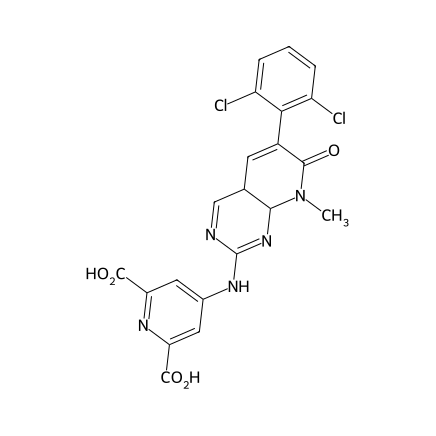 CN1C(=O)C(c2c(Cl)cccc2Cl)=CC2C=NC(Nc3cc(C(=O)O)nc(C(=O)O)c3)=NC21